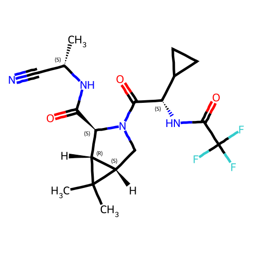 C[C@@H](C#N)NC(=O)[C@@H]1[C@@H]2[C@H](CN1C(=O)[C@@H](NC(=O)C(F)(F)F)C1CC1)C2(C)C